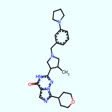 CC1CN(Cc2cccc(N3CCCC3)c2)CC1c1nn2c(C3CCOCC3)ncc2c(=O)[nH]1